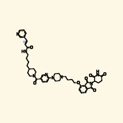 O=C(/C=C/c1cccnc1)NCCCCC1CCN(C(=O)c2ccc(N3CCN(CCCCOc4cccc5c4C(=O)N(C4CCC(=O)NC4=O)C5=O)CC3)nc2)CC1